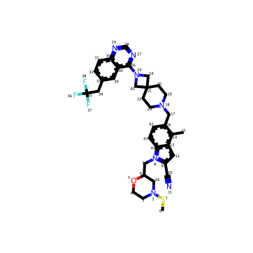 CSN1CCOC(Cn2c(C#N)cc3c(C)c(CN4CCC5(CC4)CN(c4ncnc6ccc(CC(F)(F)F)cc46)C5)ccc32)C1